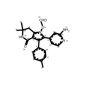 Cc1ccc(-c2c3c(n(OC=O)c2-c2ccnc(N)c2)CC(C)(C)NC3=O)cc1